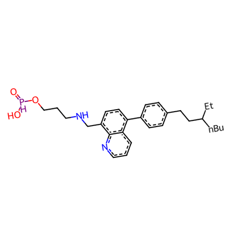 CCCCC(CC)CCc1ccc(-c2ccc(CNCCCO[PH](=O)O)c3ncccc23)cc1